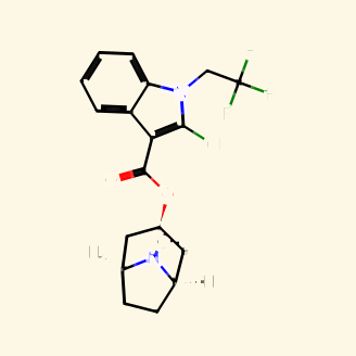 CN1[C@@H]2CC[C@H]1C[C@@H](OC(=O)c1c(Cl)n(CC(F)(F)F)c3ccccc13)C2